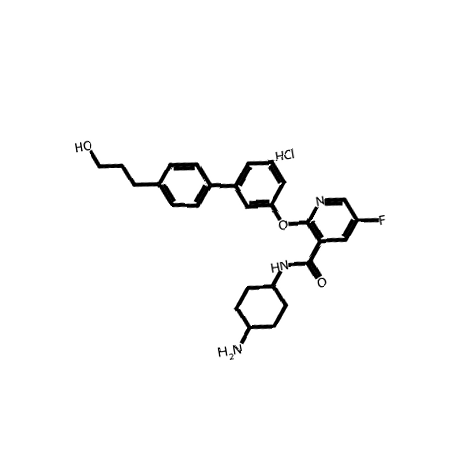 Cl.NC1CCC(NC(=O)c2cc(F)cnc2Oc2cccc(-c3ccc(CCCO)cc3)c2)CC1